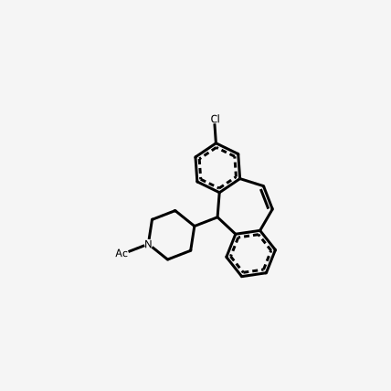 CC(=O)N1CCC(C2c3ccccc3C=Cc3cc(Cl)ccc32)CC1